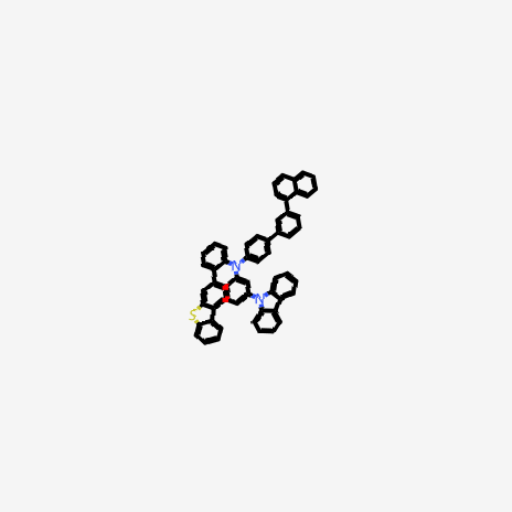 c1cc(-c2ccc(N(c3cccc(-n4c5ccccc5c5ccccc54)c3)c3ccccc3-c3ccc4c(c3)sc3ccccc34)cc2)cc(-c2cccc3ccccc23)c1